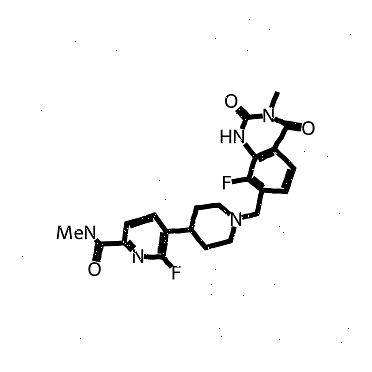 CNC(=O)c1ccc(C2CCN(Cc3ccc4c(=O)n(C)c(=O)[nH]c4c3F)CC2)c(F)n1